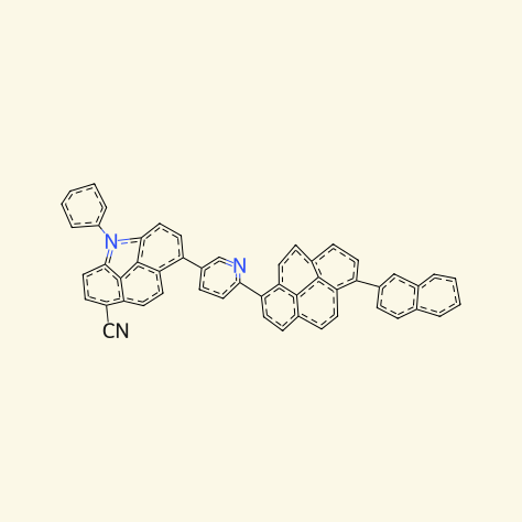 N#Cc1ccc2c3c1ccc1c(-c4ccc(-c5ccc6ccc7c(-c8ccc9ccccc9c8)ccc8ccc5c6c87)nc4)ccc(c13)n2-c1ccccc1